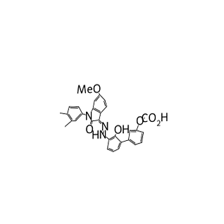 COc1ccc2c(c1)N(c1ccc(C)c(C)c1)C(=O)C2=NNc1cccc(-c2cccc(OC(=O)O)c2)c1O